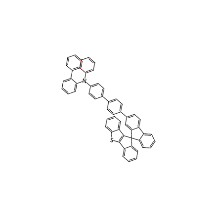 c1ccc(-c2ccccc2N(c2ccccc2)c2ccc(-c3ccc(-c4ccc5c(c4)C4(c6ccccc6-5)c5ccccc5-c5sc6ccccc6c54)cc3)cc2)cc1